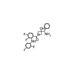 NC(c1ccccc1)C1(O)CN(C(=O)c2ccc(F)c(F)c2Nc2ccc(I)cc2F)C1